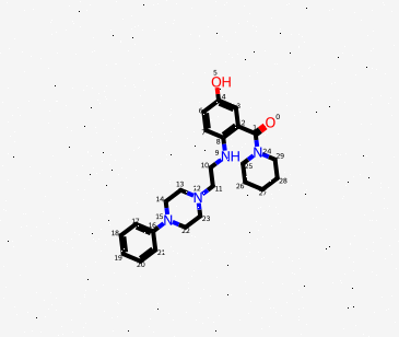 O=C(c1cc(O)ccc1NCCN1CCN(c2ccccc2)CC1)N1CCCCC1